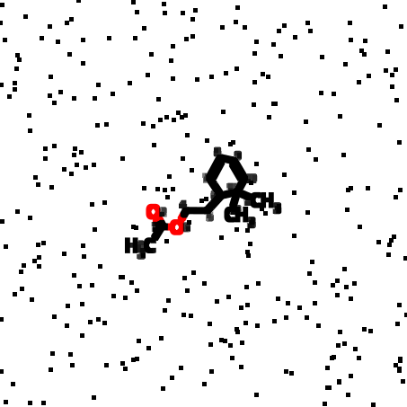 CC(=O)OCCC1C=CC=CC1(C)C